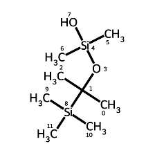 CC(C)(O[Si](C)(C)O)[Si](C)(C)C